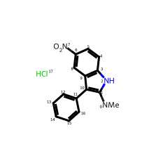 CNc1[nH]c2ccc([N+](=O)[O-])cc2c1-c1ccccc1.Cl